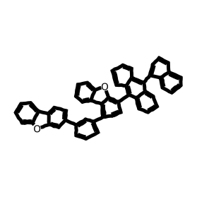 c1cc(-c2ccc3c(c2)oc2ccccc23)cc(-c2ccc(-c3c4ccccc4c(-c4cccc5ccccc45)c4ccccc34)c3oc4ccccc4c23)c1